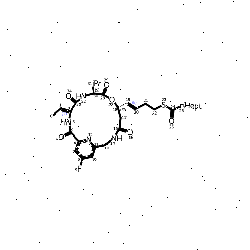 C/C=C1\NC(=O)c2cc(F)cc(n2)CNC(=O)C[C@@H](/C=C/CCSC(=O)CCCCCCC)OC(=O)[C@H](C(C)C)NC1=O